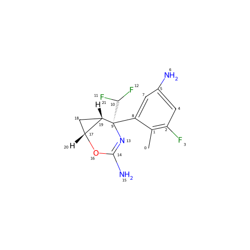 Cc1c(F)cc(N)cc1[C@@]1(C(F)F)N=C(N)O[C@@H]2C[C@@H]21